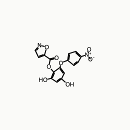 O=C(Oc1c(O)cc(O)cc1Oc1ccc([N+](=O)[O-])cc1)c1ccno1